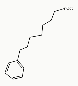 CCCCCCCCCCCCCCCc1c[c]ccc1